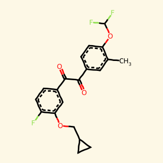 Cc1cc(C(=O)C(=O)c2ccc(F)c(OCC3CC3)c2)ccc1OC(F)F